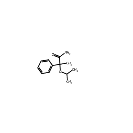 CC(C)OC(C)(C(N)=O)c1ccccc1